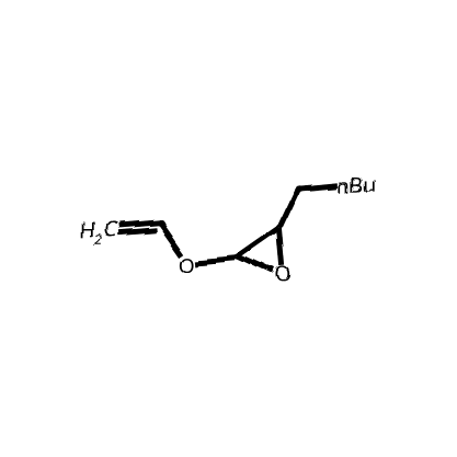 C=COC1OC1CCCCC